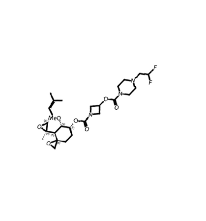 CO[C@@H]1[C@H](OC(=O)N2CC(OC(=O)N3CCN(CC(F)F)CC3)C2)CC[C@]2(CO2)[C@H]1[C@@]1(C)O[C@@H]1CC=C(C)C